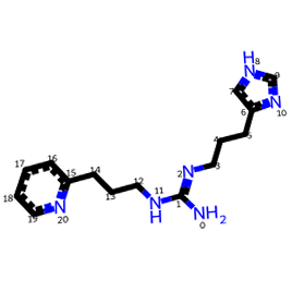 NC(=NCCCc1c[nH]cn1)NCCCc1ccccn1